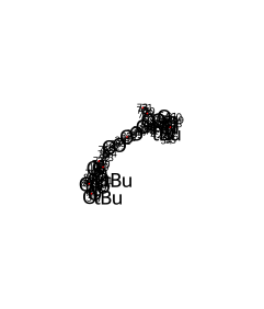 CC(C)(C)OC(=O)CN1CN(C(=O)OC(C)(C)C)c2cc(S(=O)(=O)N3CCC(c4ccc(OCCOCCOCCOCCOc5cc(C(C)(C)C)c(NC(=O)c6cn(Cc7ccccc7)c7ccccc7c6=O)cc5OCc5ccccc5)cc4)CC3)ccc2C1=O